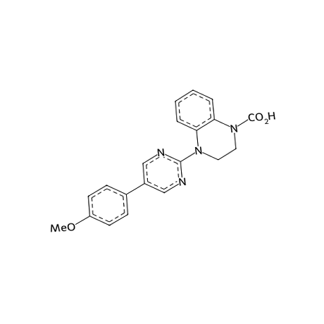 COc1ccc(-c2cnc(N3CCN(C(=O)O)c4ccccc43)nc2)cc1